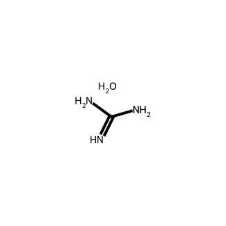 N=C(N)N.O